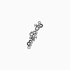 O=C(CN1CCC[C@H](NS(=O)(=O)c2cc3ccc(Cl)nc3s2)C1=O)N1CC2C[C@@H](C1)Cn1c2cccc1=O